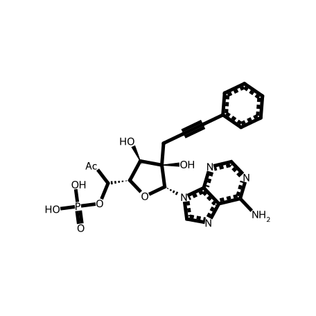 CC(=O)C(OP(=O)(O)O)[C@H]1O[C@@H](n2cnc3c(N)ncnc32)[C@@](O)(CC#Cc2ccccc2)[C@@H]1O